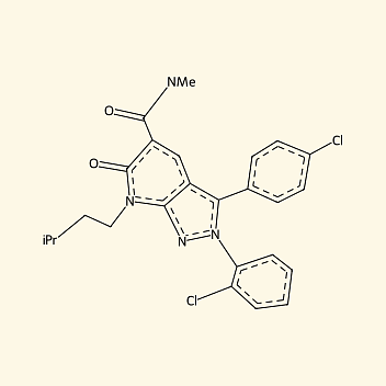 CNC(=O)c1cc2c(-c3ccc(Cl)cc3)n(-c3ccccc3Cl)nc2n(CCC(C)C)c1=O